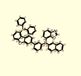 c1ccc(N(c2ccccc2)c2cccc3oc4cc(-c5cccc(N(c6ccc7ccccc7c6)c6cccc7ncoc67)c5)ccc4c23)cc1